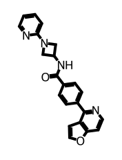 O=C(NC1CN(c2ccccn2)C1)c1ccc(-c2nccc3occc23)cc1